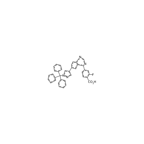 O=C(O)c1ccc(-c2ncnc3ccc(-c4cnn(C(c5ccccc5)(c5ccccc5)c5ccccc5)c4)cc23)cc1F